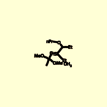 CCCOC(CC)[SiH](CC)OC(C)(OC)OC.O